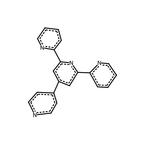 c1ccc(-c2cc(-c3ccncc3)cc(-c3ccccn3)n2)nc1